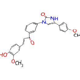 COc1ccc(-c2cn(-c3cccc(C(=O)/C=C/c4ccc(O)c(OC)c4)c3)c(=O)[nH]2)cc1